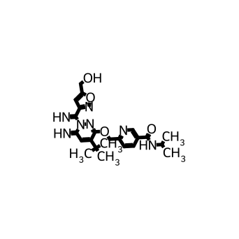 CC(C)NC(=O)c1ccc(COc2nn(C(=N)c3cc(CO)on3)c(=N)cc2C(C)(C)C)nc1